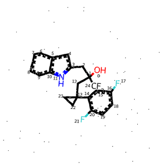 OC(Cc1cc2ccccc2[nH]1)(CC1(c2cc(F)ccc2F)CC1)C(F)(F)F